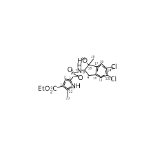 CCOC(=O)c1cc(S(=O)(=O)NC2Cc3cc(Cl)c(Cl)cc3C2(C)O)[nH]c1C